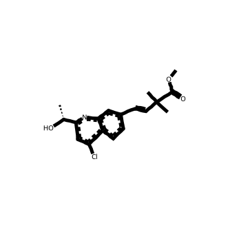 COC(=O)C(C)(C)/C=C/c1ccc2c(Cl)cc([C@@H](C)O)nc2c1